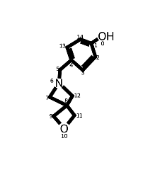 Oc1ccc(CN2CC3(COC3)C2)cc1